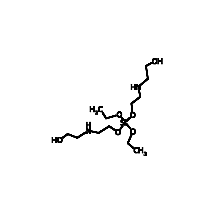 CCO[Si](OCC)(OCCNCCO)OCCNCCO